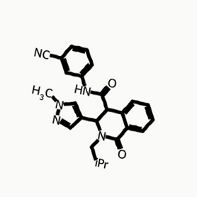 CC(C)CN1C(=O)c2ccccc2C(C(=O)Nc2cccc(C#N)c2)C1c1cnn(C)c1